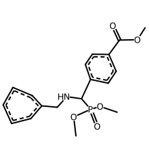 COC(=O)c1ccc(C(NCc2ccccc2)P(=O)(OC)OC)cc1